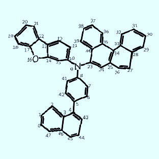 c1ccc2c(-c3ccc(N(c4ccc5c(c4)oc4ccccc45)c4cc5ccc6ccccc6c5c5ccccc45)cc3)cccc2c1